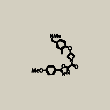 CNCc1ccc(OC2CN(C(=O)c3nnc(-c4ccc(OC)cc4)o3)C2)c(C)c1